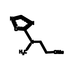 COCCN(C)c1ncno1